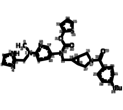 CN(Cc1ncc[nH]1)c1ccc(N(CC2C3CN(C(=O)c4ccc(C(C)(C)C)cc4)CC32)C(=O)Oc2cccs2)cn1